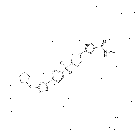 O=C(NO)c1cnc(N2CCN(S(=O)(=O)c3ccc(-c4csc(CN5CCCC5)c4)cc3)CC2)s1